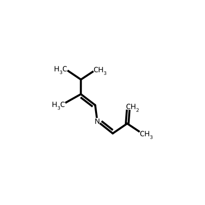 C=C(C)/C=N\C=C(/C)C(C)C